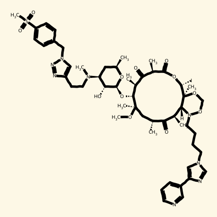 CO[C@]1(C)C[C@@H](C)C(=O)[C@H](C)[C@H]2N(CCCCn3cnc(-c4cccnc4)c3)OCO[C@]2(C)[C@@H](I)OC(=O)[C@H](C)C(=O)[C@H](C)[C@H]1O[C@@H]1O[C@H](C)C[C@H](N(C)CCc2cn(Cc3ccc(S(C)(=O)=O)cc3)nn2)[C@H]1O